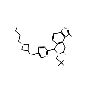 Bc1n[nH]c2ccc3c(c12)C[C@@H](C)N(CC(F)(F)F)C3c1ccc(NC2CN(CCCF)C2)cn1